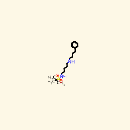 CC(C)(C)S(=O)(=O)NCCCCCNCCCCc1ccccc1